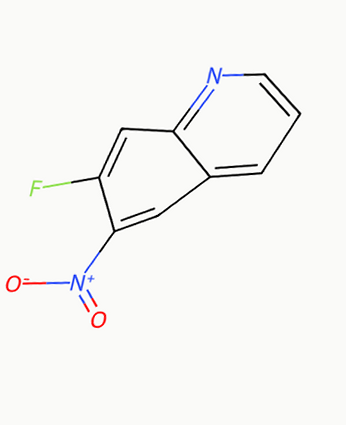 O=[N+]([O-])c1cc2cccnc2cc1F